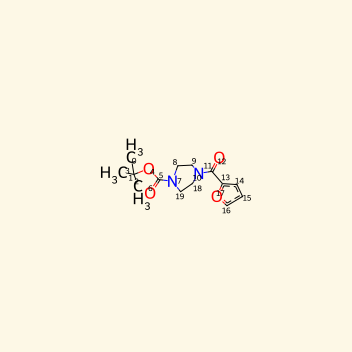 CC(C)(C)OC(=O)N1CCN(C(=O)c2ccco2)CC1